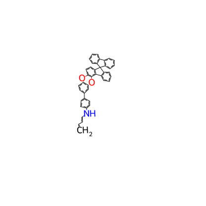 C=C/C=C/Nc1ccc(-c2ccc3c(c2)Oc2c(ccc4c2-c2ccccc2C42c4ccccc4-c4ccccc42)O3)cc1